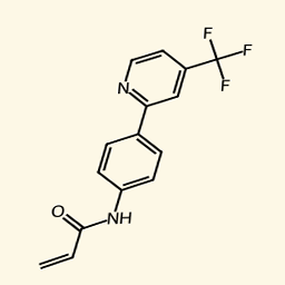 C=CC(=O)Nc1ccc(-c2cc(C(F)(F)F)ccn2)cc1